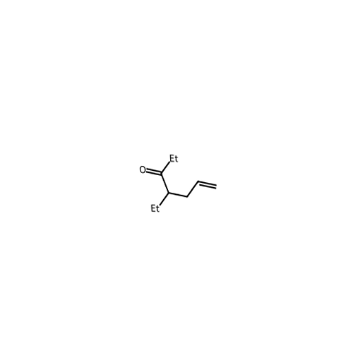 C=CCC(CC)C(=O)CC